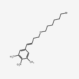 Cc1cc(C=CCCOCCCCCCBr)cc(C)c1[N+](=O)[O-]